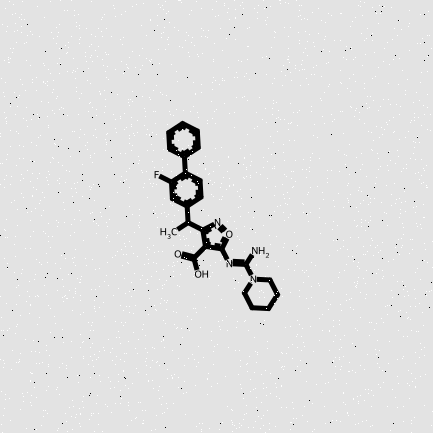 CC(c1ccc(-c2ccccc2)c(F)c1)c1noc(/N=C(\N)N2CCCCC2)c1C(=O)O